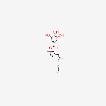 C=CC(C)(CCC=C(C)CCC=C(C)C)OC(=O)c1cc(O)c(O)c(O)c1